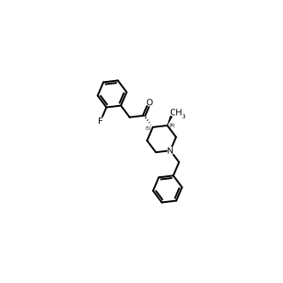 C[C@H]1CN(Cc2ccccc2)CC[C@@H]1C(=O)Cc1ccccc1F